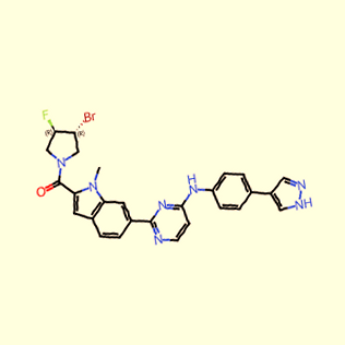 Cn1c(C(=O)N2C[C@@H](F)[C@H](Br)C2)cc2ccc(-c3nccc(Nc4ccc(-c5cn[nH]c5)cc4)n3)cc21